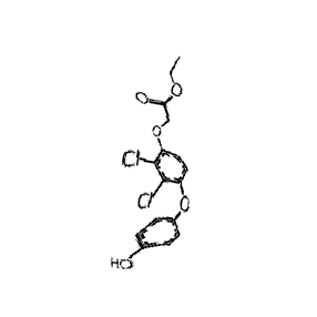 CCOC(=O)COc1ccc(Oc2ccc(O)cc2)c(Cl)c1Cl